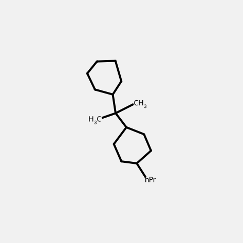 CCCC1CCC(C(C)(C)C2CCCCC2)CC1